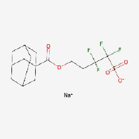 O=C(OCCC(F)(F)C(F)(F)S(=O)(=O)[O-])C12CC3CC(CC(C3)C1)C2.[Na+]